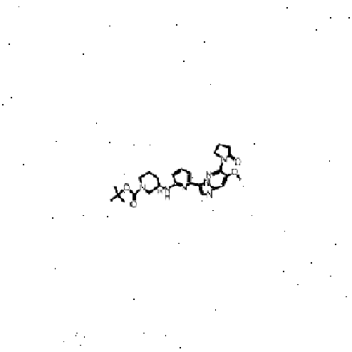 COc1cc2ncc(-c3cccc(N[C@@H]4CCCN(C(=O)OC(C)(C)C)C4)n3)n2nc1N1CCCC1=O